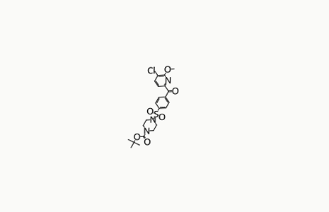 COc1nc(C(=O)c2ccc(S(=O)(=O)N3CCN(C(=O)OC(C)(C)C)CC3)cc2)ccc1Cl